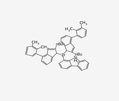 CCCCC1=Cc2c(-c3cccc(C)c3C)cccc2[CH]1[Zr]([c]1cccc2c1[SiH2]c1ccccc1-2)[CH]1C(CCCC)=Cc2c(-c3cccc(C)c3C)cccc21